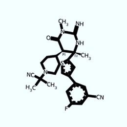 CN1C(=N)N[C@](C)(c2cc(-c3cc(F)cc(C#N)c3)cs2)[C@@H](C2CCN(C(C)(C)C#N)CC2)C1=O